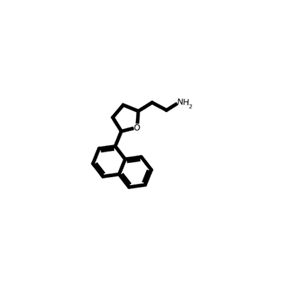 NCCC1CCC(c2cccc3ccccc23)O1